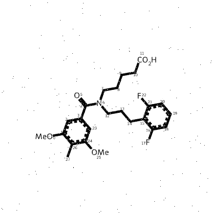 COc1cc(C(=O)N(CCCCC(=O)O)CCCc2c(F)cccc2F)cc(OC)c1C